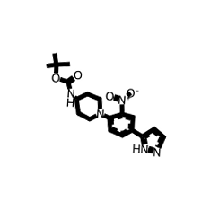 CC(C)(C)OC(=O)NC1CCN(c2ccc(-c3ccn[nH]3)cc2[N+](=O)[O-])CC1